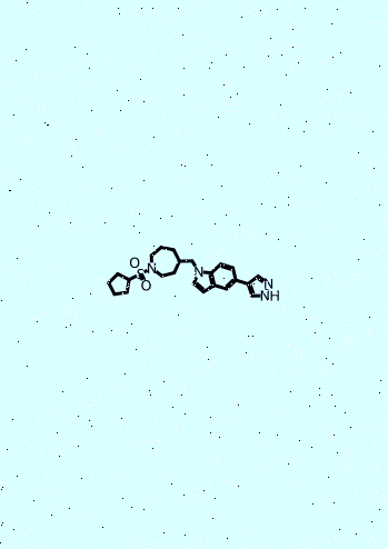 O=S(=O)(C1CCCC1)N1CCCC(Cn2ccc3cc(-c4cn[nH]c4)ccc32)CC1